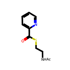 CC(=O)NCCSC(=O)c1ccccn1